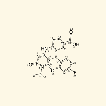 CC(C)n1c(=O)nc(Nc2ccc(C(=O)O)cc2)n(Cc2ccc(F)cc2)c1=O